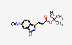 [C-]#[N+]c1ccc2c(/C=C/C(=O)OC(C)(C)C)c[nH]c2c1